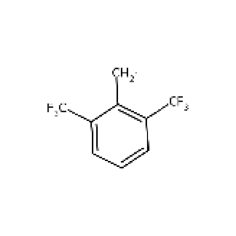 [CH2]c1c(C(F)(F)F)cccc1C(F)(F)F